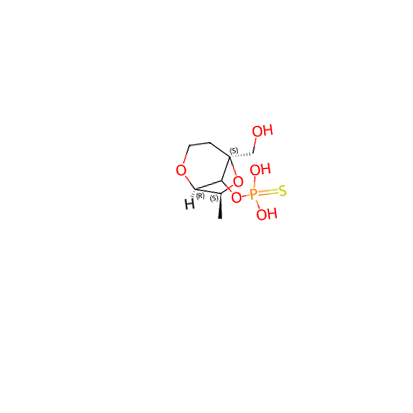 C[C@@H]1O[C@]2(CO)CCO[C@H]1C2OP(O)(O)=S